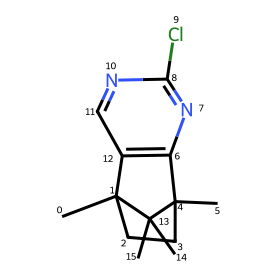 CC12CCC(C)(c3nc(Cl)ncc31)C2(C)C